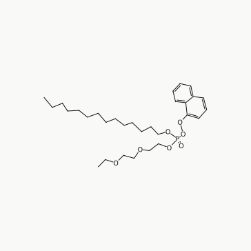 CCCCCCCCCCCCCCOP(=O)(OCCOCCOCC)OOc1cccc2ccccc12